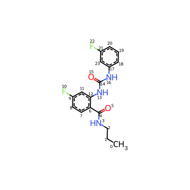 CCCNC(=O)c1ccc(F)cc1NC(=O)Nc1cccc(F)c1